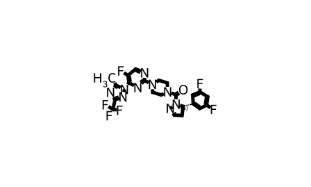 Cc1nc(C(F)(F)F)nn1-c1nc(N2CCN(C(=O)N3N=CC[C@H]3c3cc(F)cc(F)c3)CC2)ncc1F